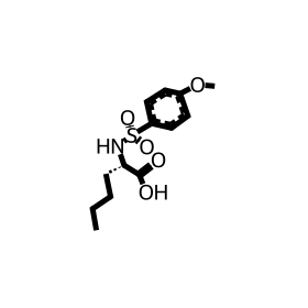 CCCC[C@H](NS(=O)(=O)c1ccc(OC)cc1)C(=O)O